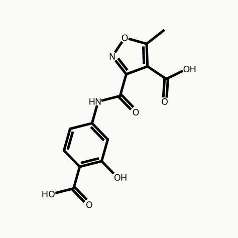 Cc1onc(C(=O)Nc2ccc(C(=O)O)c(O)c2)c1C(=O)O